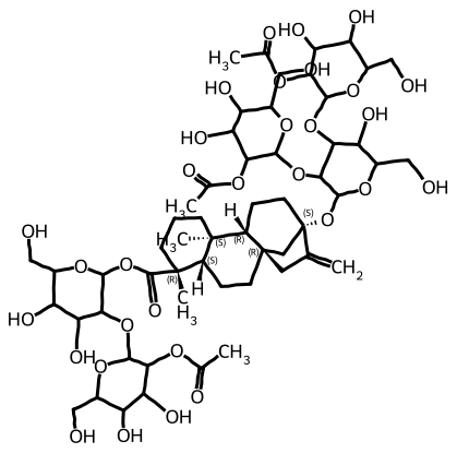 C=C1C[C@@]23CC[C@H]4[C@@](C)(CCC[C@@]4(C)C(=O)OC4OC(CO)C(O)C(O)C4OC4OC(CO)C(O)C(O)C4OC(C)=O)[C@@H]2CC[C@]1(OC1OC(CO)C(O)C(OC2OC(CO)C(O)C(O)C2OC(C)=O)C1OC1OC(CO)C(O)C(O)C1OC(C)=O)C3